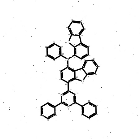 c1ccc(-c2nc(-c3ccccc3)nc(-c3ccc(N(c4ccccc4)c4cccc5c4sc4ccccc45)c4c3oc3ccccc34)n2)cc1